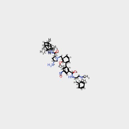 COc1c(CN2C[C@@H](N)C[C@H]2C(=O)N[C@H]2C[C@H]3C[C@@H]([C@@H]2C)C3(C)C)cccc1-c1cc(N=O)cc(C(=O)N[C@@H](Cc2ccccc2)CN(C)C)c1